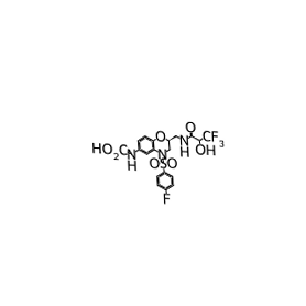 O=C(O)Nc1ccc2c(c1)N(S(=O)(=O)c1ccc(F)cc1)C[C@H](CNC(=O)C(O)C(F)(F)F)O2